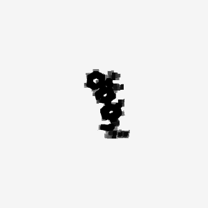 CCCCCC[C@H](C)Oc1ccc(-c2ccc(C3(C(CCC)CCCC)CCCCC3)cn2)c(F)c1